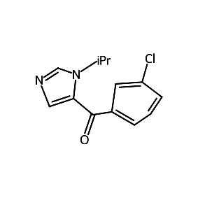 CC(C)n1cncc1C(=O)c1cccc(Cl)c1